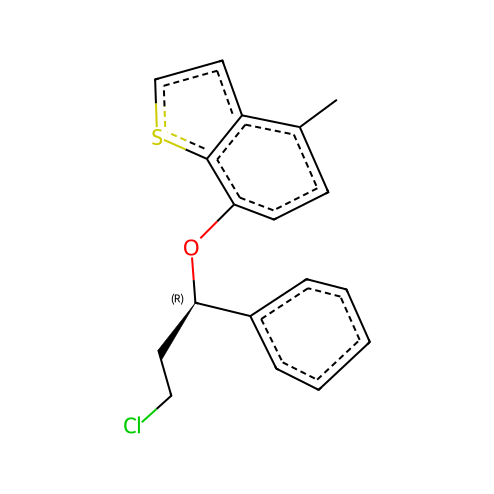 Cc1ccc(O[C@H](CCCl)c2ccccc2)c2sccc12